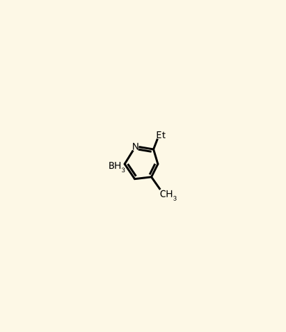 B.CCc1cc(C)ccn1